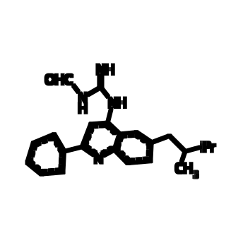 CC(C)C(C)Cc1ccc2nc(-c3ccccc3)cc(NC(=N)NC=O)c2c1